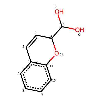 OC(O)C1C=Cc2ccccc2O1